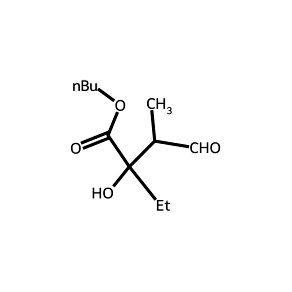 CCCCOC(=O)C(O)(CC)C(C)C=O